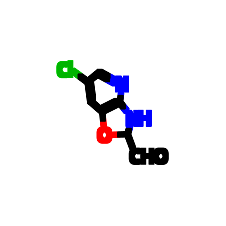 O=CC1Nc2ncc(Cl)cc2O1